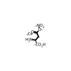 N[C@@H](CC(=O)O[N+](=O)[O-])C(=O)O.[Ce]